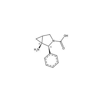 N[C@@]12CC1CN(C(=O)O)[C@H]2c1ccccc1